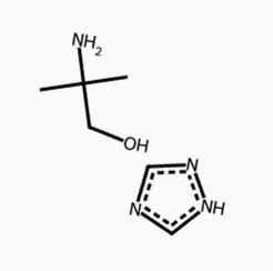 CC(C)(N)CO.c1nc[nH]n1